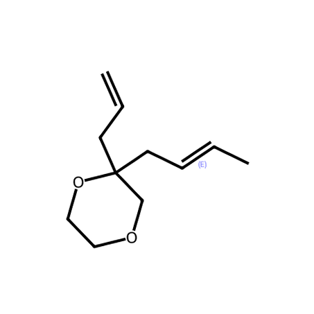 C=CCC1(C/C=C/C)COCCO1